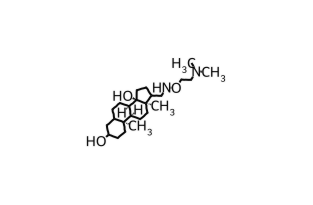 CN(C)CCONCC1CC[C@@]2(O)[C@@H]3CCC4CC(O)CC[C@]4(C)[C@@H]3CC[C@]12C